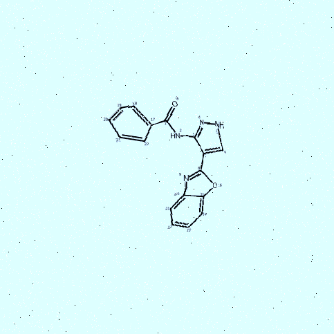 O=C(Nc1n[nH]cc1-c1nc2ccccc2o1)c1ccccc1